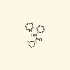 C[C@H]1CCC[C@@H]1C(=O)Nc1ccccc1-c1ncccn1